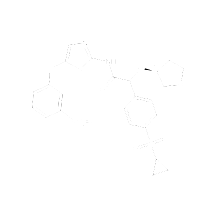 CCOC(=O)c1cccc(Oc2cnc(NC(=O)C(O[C@H]3CCOC3)c3ccc(S(=O)(=O)C4CC4)cc3)s2)c1